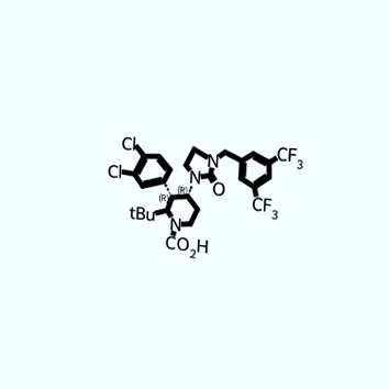 CC(C)(C)C1[C@H](c2ccc(Cl)c(Cl)c2)[C@H](N2CCN(Cc3cc(C(F)(F)F)cc(C(F)(F)F)c3)C2=O)CCN1C(=O)O